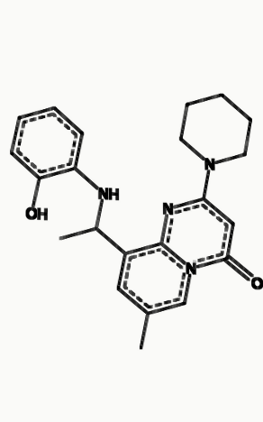 Cc1cc(C(C)Nc2ccccc2O)c2nc(N3CCCCC3)cc(=O)n2c1